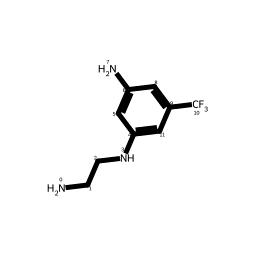 NCCNc1cc(N)cc(C(F)(F)F)c1